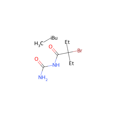 CCC(Br)(CC)C(=O)NC(N)=O.CCC(C)C